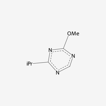 COc1ncnc(C(C)C)n1